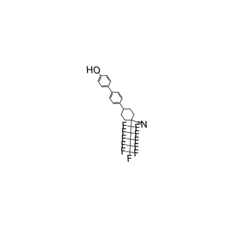 N#CC1(C(F)(F)C(F)(F)C(F)(F)C(F)(F)C(F)(F)F)CCC(c2ccc(-c3ccc(O)cc3)cc2)CC1